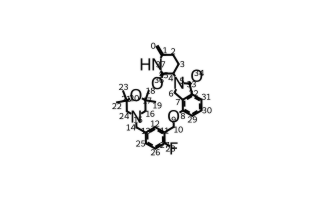 C=C1CCC(N2Cc3c(OCc4cc(CN5CC(C)(C)OC(C)(C)C5)ccc4F)cccc3C2=O)C(=O)N1